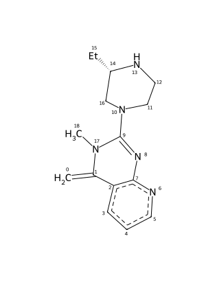 C=C1c2cccnc2N=C(N2CCN[C@@H](CC)C2)N1C